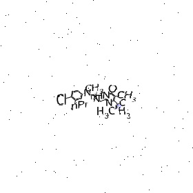 C/C=C(/C)c1nc(CN2C=C(N(C)c3ccc(Cl)c(CCC)c3)C2)[nH]c(=O)c1C